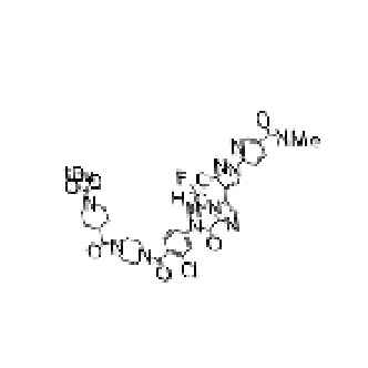 CNC(=O)c1ccc(-n2cc(-c3cnc(C(=O)Nc4ccc(C(=O)N5CCN(C(=O)C6CCN(C(=O)OC(C)(C)C)CC6)CC5)c(Cl)c4)n3C)c(C(F)(F)F)n2)nc1